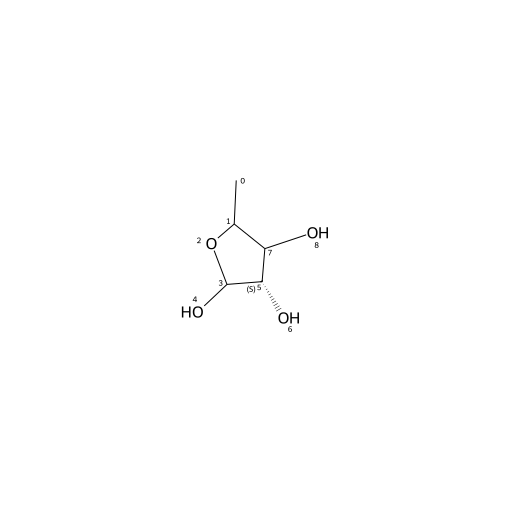 CC1OC(O)[C@@H](O)C1O